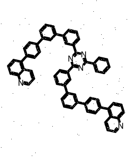 c1ccc(-c2nc(-c3cccc(-c4cccc(-c5ccc(-c6cccc7ncccc67)cc5)c4)c3)nc(-c3cccc(-c4cccc(-c5ccc(-c6cccc7ncccc67)cc5)c4)c3)n2)cc1